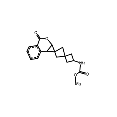 CC(C)(C)OC(=O)NC1CC2(C1)CC1(C2)C2OC(=O)c3ccccc3C21